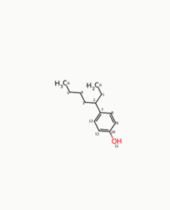 [CH2]CC(CCCC)c1ccc(O)cc1